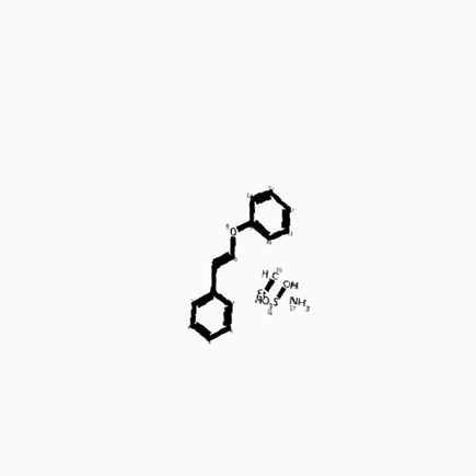 C(=Cc1ccccc1)Oc1ccccc1.CCC.N.O=S(=O)(O)O